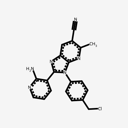 Cc1nc2c(cc1C#N)nc(-c1cccnc1N)n2-c1ccc(CCl)cc1